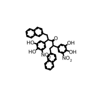 O=C(C(Cc1ccc2ccccc2c1)c1cc(O)c(O)c([N+](=O)[O-])c1)C(Cc1ccc2ccccc2c1)c1cc(O)c(O)c([N+](=O)[O-])c1